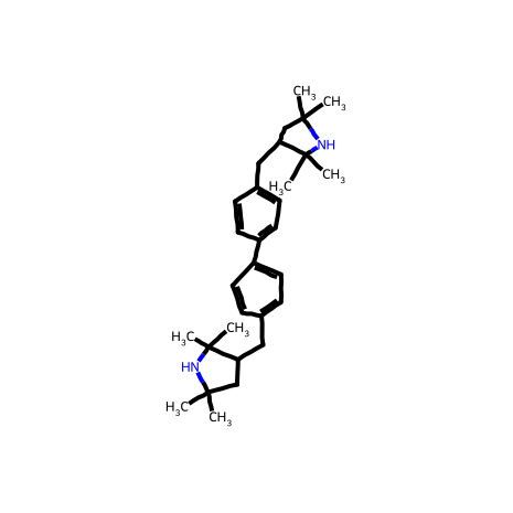 CC1(C)CC(Cc2ccc(-c3ccc(CC4CC(C)(C)NC4(C)C)cc3)cc2)C(C)(C)N1